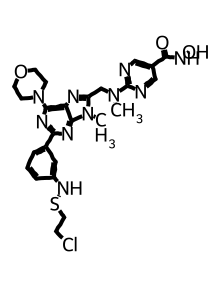 CN(Cc1nc2c(N3CCOCC3)nc(-c3cccc(NSCCCl)c3)nc2n1C)c1ncc(C(=O)NO)cn1